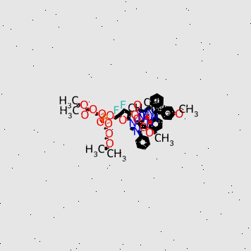 CCOc1nc(NC(c2ccccc2)(c2ccccc2)c2ccc(OC)cc2)nc2c1ncn2[C@@H]1O[C@](F)(COP(=O)(OCOCOC(C)C)OCOC(=O)OC(C)C)[C@@H](F)[C@@]1(C)OC(=O)C(NC(=O)OCc1ccccc1)C(C)C